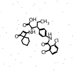 CCC(c1ccc(NC(=O)c2c(Cl)cccc2Cl)cc1)[C@H](NC1=CC(=O)C12CCCCC2)C(=O)O